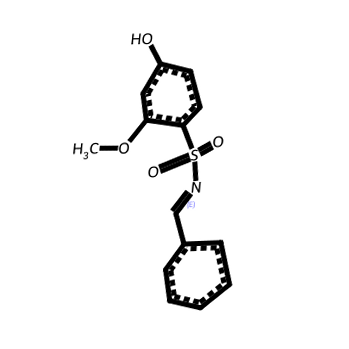 COc1cc(O)ccc1S(=O)(=O)/N=C/c1ccccc1